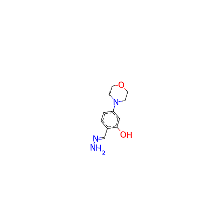 N/N=C/c1ccc(N2CCOCC2)cc1O